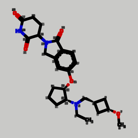 CCN(C[C@H]1C[C@@H](OC)C1)[C@@H]1CCC[C@@H]1Oc1ccc2c(c1)CN(C1CCC(=O)NC1=O)C2=O